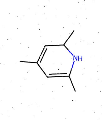 CC1=CC(C)NC(C)=C1